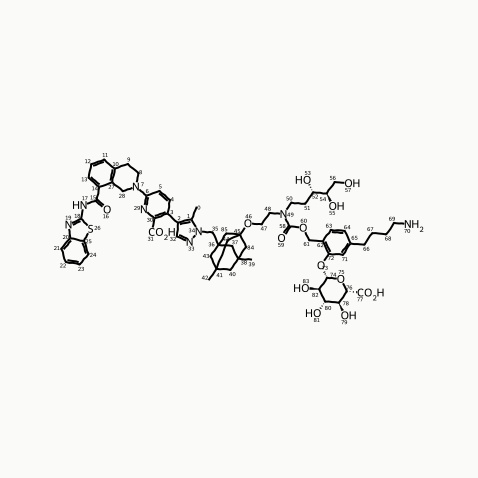 Cc1c(-c2ccc(N3CCc4cccc(C(=O)Nc5nc6ccccc6s5)c4C3)nc2C(=O)O)cnn1CC12CC3(C)CC(C)(C1)CC(OCCN(CC[C@H](O)[C@H](O)CO)C(=O)OCc1ccc(CCCCN)cc1O[C@@H]1O[C@H](C(=O)O)[C@@H](O)[C@H](O)[C@H]1O)(C3)C2